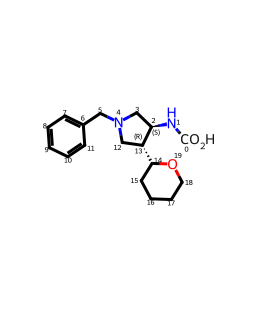 O=C(O)N[C@@H]1CN(Cc2ccccc2)C[C@H]1C1CCCCO1